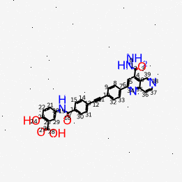 NNC(=O)c1cc(-c2ccc(C#Cc3ccc(C(=O)Nc4ccc(O)c(C(=O)O)c4)cc3)cc2)nc2ccncc12